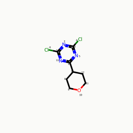 Clc1nc(Cl)nc(C2CCOCC2)n1